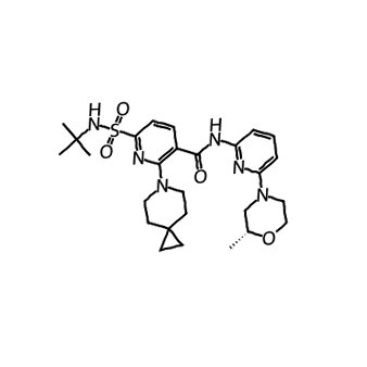 C[C@@H]1CN(c2cccc(NC(=O)c3ccc(S(=O)(=O)NC(C)(C)C)nc3N3CCC4(CC3)CC4)n2)CCO1